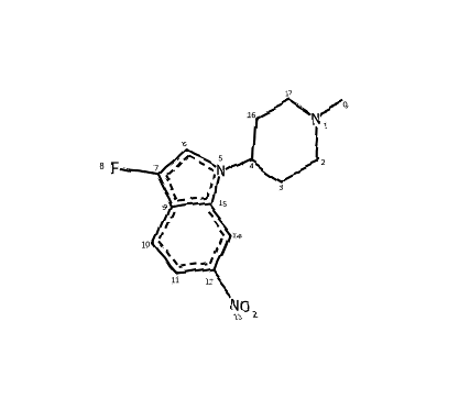 CN1CCC(n2cc(F)c3ccc([N+](=O)[O-])cc32)CC1